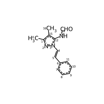 Cc1nn(C=Cc2ccccc2)c(NC=O)c1C